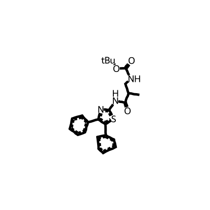 CC(CNC(=O)OC(C)(C)C)C(=O)Nc1nc(-c2ccccc2)c(-c2ccccc2)s1